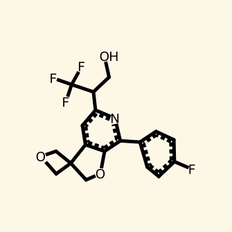 OCC(c1cc2c(c(-c3ccc(F)cc3)n1)OCC21COC1)C(F)(F)F